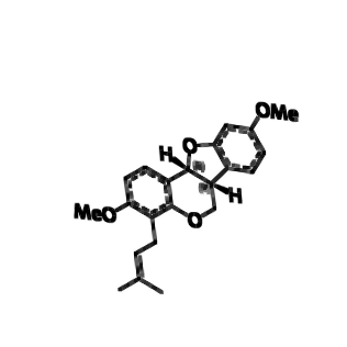 COc1ccc2c(c1)O[C@H]1c3ccc(OC)c(CC=C(C)C)c3OC[C@@H]21